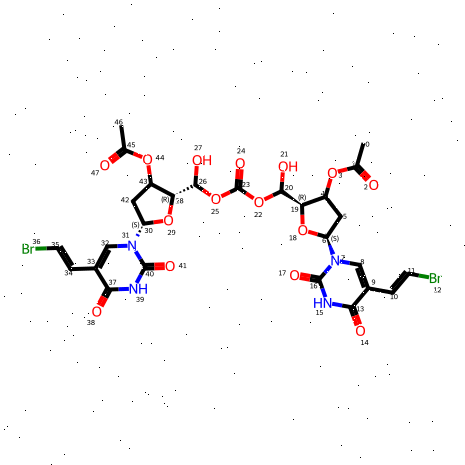 CC(=O)OC1C[C@@H](n2cc(C=CBr)c(=O)[nH]c2=O)O[C@H]1C(O)OC(=O)OC(O)[C@@H]1O[C@H](n2cc(C=CBr)c(=O)[nH]c2=O)CC1OC(C)=O